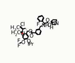 C=C(Cl)/C(C[C@H](OC(=O)c1cccc(CNC(C(=O)O[C@H]2CN3CCC2CC3)c2ccccc2F)c1)c1ccc(OC(F)F)c(OC(C)C)c1)=C(\C)Cl